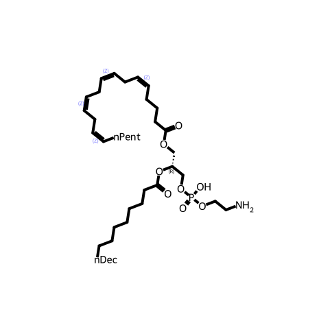 CCCCC/C=C\C/C=C\C/C=C\C/C=C\CCCC(=O)OC[C@H](COP(=O)(O)OCCN)OC(=O)CCCCCCCCCCCCCCCCC